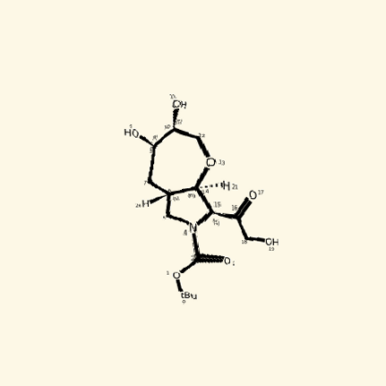 CC(C)(C)OC(=O)N1C[C@@H]2C[C@@H](O)[C@@H](O)CO[C@H]2[C@H]1C(=O)CO